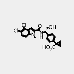 Cn1c(C(=O)N[C@H](CO)c2ccc(C3(C(=O)O)CC3)cc2)cc2c(Cl)c(Cl)ccc21